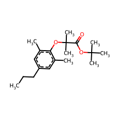 CCCc1cc(C)c(OC(C)(C)C(=O)OC(C)(C)C)c(C)c1